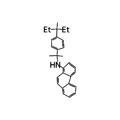 CCC(C)(CC)c1ccc(C(C)(C)Nc2cccc3c2ccc2ccccc23)cc1